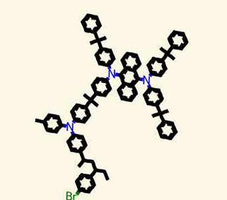 CCC(CC(C)c1ccc(N(c2ccc(C)cc2)c2ccc(C(C)(C)c3ccc(N(c4ccc(C(C)(C)c5ccccc5)cc4)c4c5ccccc5c(N(c5ccc(C(C)(C)c6ccccc6)cc5)c5ccc(C(C)(C)c6ccccc6)cc5)c5ccccc45)cc3)cc2)cc1)c1ccc(Br)cc1